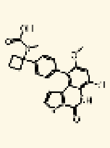 COc1cc(Cl)c2[nH]c(=O)c3sccc3c2c1-c1ccc(C2(N(C)C(=O)O)CCC2)cc1